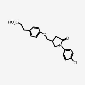 O=C(O)CCc1ccc(OCC2CC(=O)N(c3ccc(Cl)cc3)C2)cc1